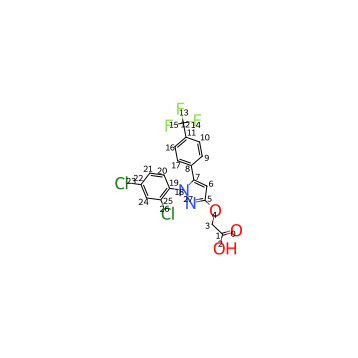 O=C(O)COc1cc(-c2ccc(C(F)(F)F)cc2)n(-c2ccc(Cl)cc2Cl)n1